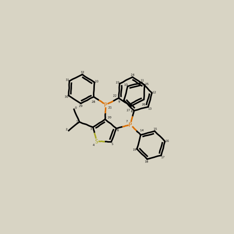 CC(C)c1scc(P(c2ccccc2)c2ccccc2)c1P(c1ccccc1)c1ccccc1